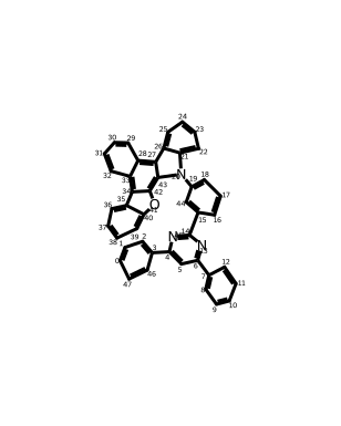 c1ccc(-c2cc(-c3ccccc3)nc(-c3cccc(-n4c5ccccc5c5c6ccccc6c6c7ccccc7oc6c54)c3)n2)cc1